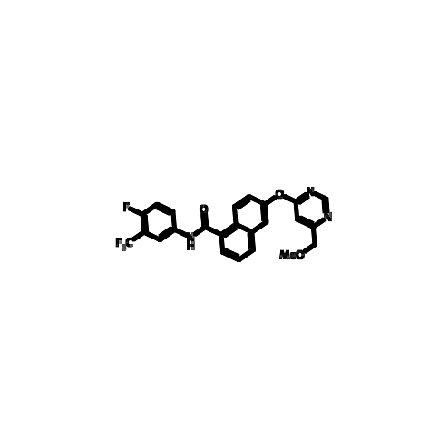 COCc1cc(Oc2ccc3c(C(=O)Nc4ccc(F)c(C(F)(F)F)c4)cccc3c2)ncn1